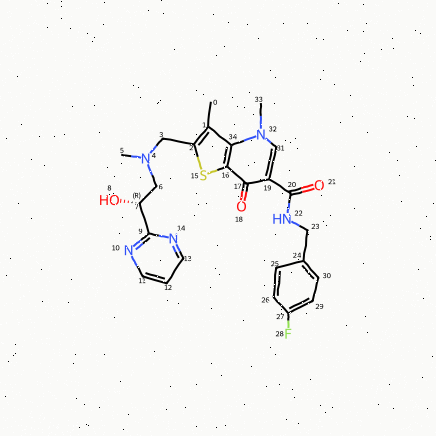 Cc1c(CN(C)C[C@@H](O)c2ncccn2)sc2c(=O)c(C(=O)NCc3ccc(F)cc3)cn(C)c12